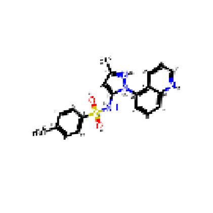 CCc1cc(NS(=O)(=O)c2ccc(C(C)(C)C)cc2)n(-c2cccc3ncccc23)n1